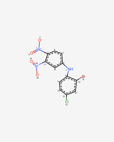 O=[N+]([O-])c1ccc(Nc2ccc(Cl)cc2Br)cc1[N+](=O)[O-]